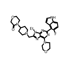 CCn1c(CN2CCC(N3CCOCC3=O)CC2)nc2c(N3CCOCC3)nc(-c3c(F)ccc4[nH]ccc34)nc21